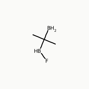 BC(C)(C)BF